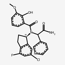 COc1cccc(C(=O)N(C(C(N)=O)c2cccnc2)[C@@H]2CCc3c(F)cc(Cl)cc32)c1O